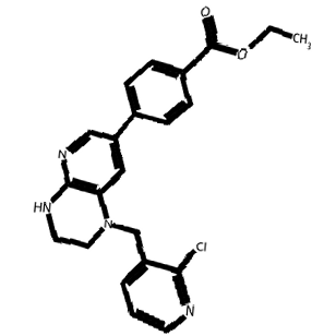 CCOC(=O)c1ccc(-c2cnc3c(c2)N(Cc2cccnc2Cl)CCN3)cc1